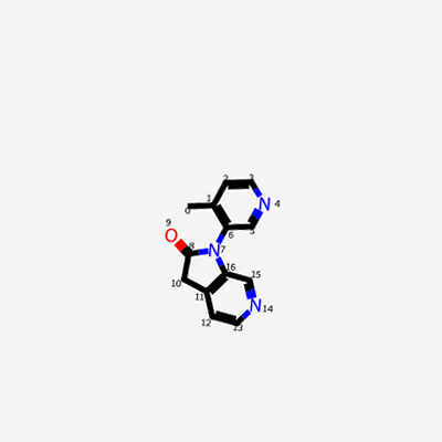 Cc1ccncc1N1C(=O)Cc2ccncc21